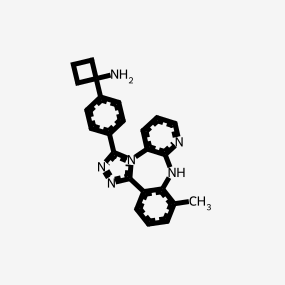 Cc1cccc2c1Nc1ncccc1-n1c(-c3ccc(C4(N)CCC4)cc3)nnc1-2